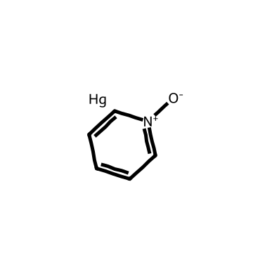 [Hg].[O-][n+]1ccccc1